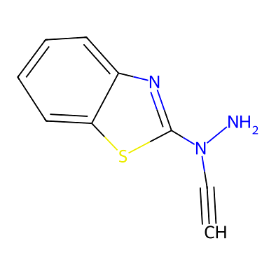 C#CN(N)c1nc2ccccc2s1